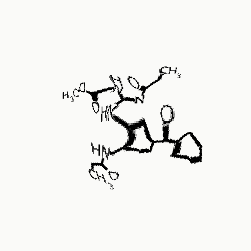 CCC(=O)N=C(NC(=O)OC)Nc1cc(C(=O)c2ccccc2)ccc1NC(=O)CC